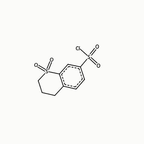 O=S(=O)(Cl)c1ccc2c(c1)S(=O)(=O)CCC2